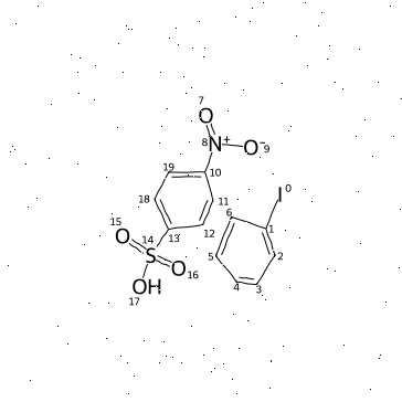 Ic1ccccc1.O=[N+]([O-])c1ccc(S(=O)(=O)O)cc1